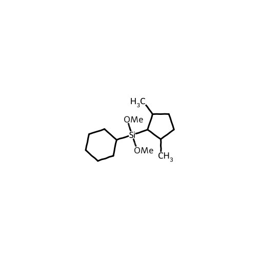 CO[Si](OC)(C1CCCCC1)C1C(C)CCC1C